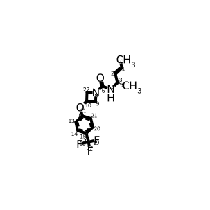 CC=C[C@H](C)NC(=O)N1CC(Oc2ccc(C(F)(F)F)cc2)C1